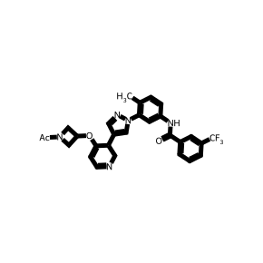 CC(=O)N1CC(OC2=CC=NCC2c2cnn(-c3cc(NC(=O)c4cccc(C(F)(F)F)c4)ccc3C)c2)C1